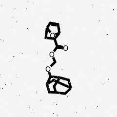 O=C(OCOC1C2CC3CC(C2)CC1C3)C1CC2C=CC1O2